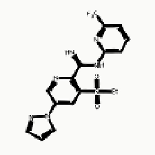 CCS(=O)(=O)c1cc(-n2cccn2)cnc1C(=N)Nc1cccc(C(F)(F)F)n1